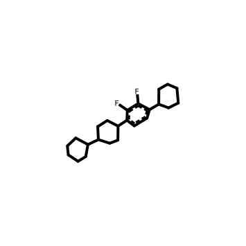 Fc1c(C2CCCCC2)ccc(C2CCC(C3CCCCC3)CC2)c1F